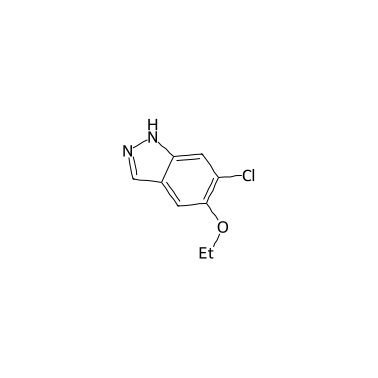 CCOc1cc2cn[nH]c2cc1Cl